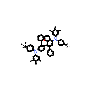 Cc1cc(N(c2ccc([Si](C)(C)C)cc2)c2ccc(-c3c(-c4ccccc4)cc(N(c4ccc([Si](C)(C)C)cc4)c4cc(C)c(C)c(C)c4)c4ccccc34)c(-c3ccccc3)c2)cc(C)c1C